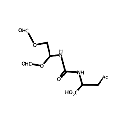 CC(=O)CC(NC(=O)NC(COC=O)OC=O)C(=O)O